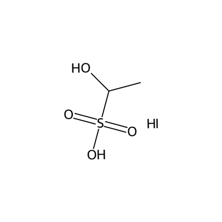 CC(O)S(=O)(=O)O.I